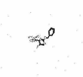 CC(C)S(=O)(=O)Nc1nc(OCc2ccccc2)ncc1F